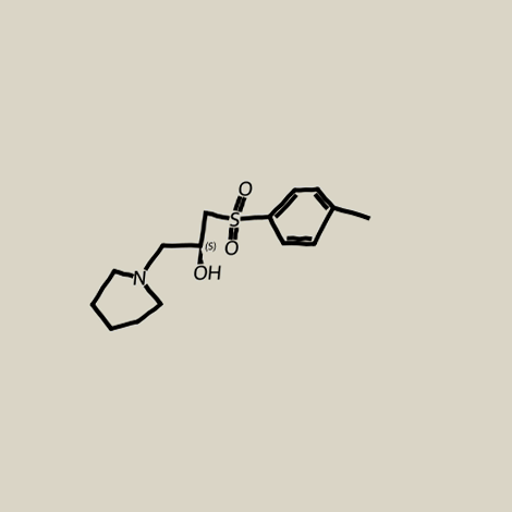 Cc1ccc(S(=O)(=O)C[C@@H](O)CN2CCCCC2)cc1